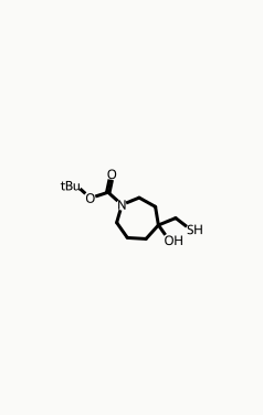 CC(C)(C)OC(=O)N1CCCC(O)(CS)CC1